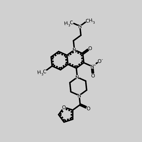 Cc1ccc2c(c1)c(N1CCN(C(=O)c3ccco3)CC1)c([N+](=O)[O-])c(=O)n2CCN(C)C